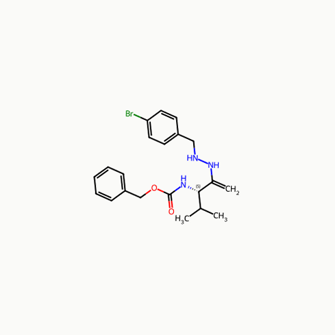 C=C(NNCc1ccc(Br)cc1)[C@@H](NC(=O)OCc1ccccc1)C(C)C